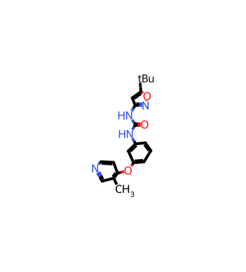 Cc1cnccc1Oc1cccc(NC(=O)Nc2cc(C(C)(C)C)on2)c1